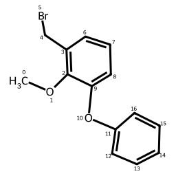 COc1c(CBr)cccc1Oc1ccccc1